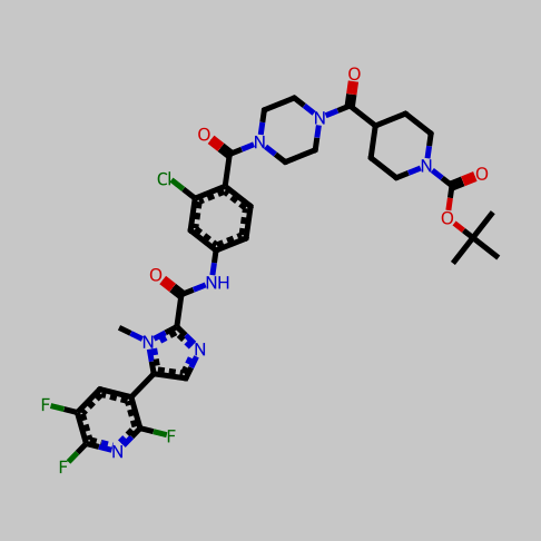 Cn1c(-c2cc(F)c(F)nc2F)cnc1C(=O)Nc1ccc(C(=O)N2CCN(C(=O)C3CCN(C(=O)OC(C)(C)C)CC3)CC2)c(Cl)c1